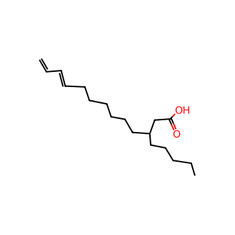 C=C/C=C/CCCCCCC(CCCCC)CC(=O)O